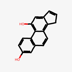 Oc1ccc2c(ccc3c4c(cc(O)c32)C=CC4)c1